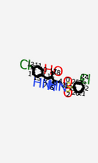 O=S(=O)(NCc1n[nH]c(-c2ccc(Cl)cc2)c1CO)c1cccc(Cl)c1